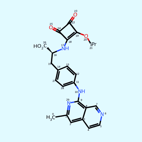 Cc1cc2ccncc2c(Nc2ccc(C[C@H](Nc3c(OC(C)C)c(=O)c3=O)C(=O)O)cc2)n1